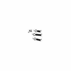 [C]=O.[C]=O.[C]=O.[Ni]